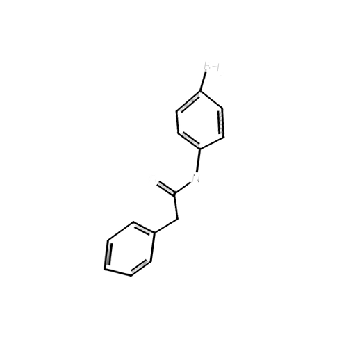 Bc1ccc(NC(=O)Cc2ccccc2)cc1